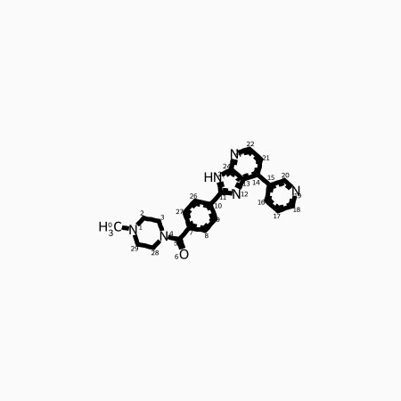 CN1CCN(C(=O)c2ccc(-c3nc4c(-c5cccnc5)ccnc4[nH]3)cc2)CC1